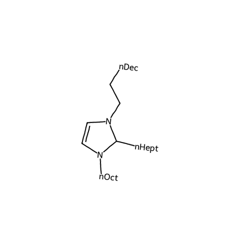 CCCCCCCCCCCCN1C=CN(CCCCCCCC)C1CCCCCCC